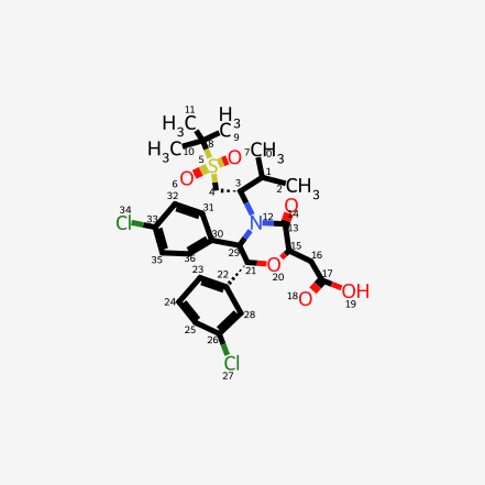 CC(C)[C@@H](CS(=O)(=O)C(C)(C)C)N1C(=O)C(CC(=O)O)O[C@H](c2cccc(Cl)c2)C1c1ccc(Cl)cc1